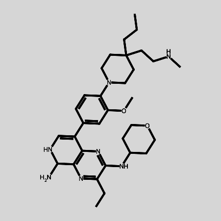 CCCC1(CCNC)CCN(c2ccc(C3=CNC(N)c4nc(CC)c(NC5CCOCC5)nc43)cc2OC)CC1